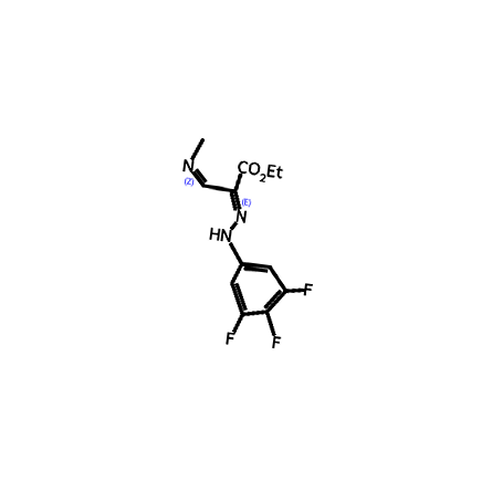 CCOC(=O)C(/C=N\C)=N/Nc1cc(F)c(F)c(F)c1